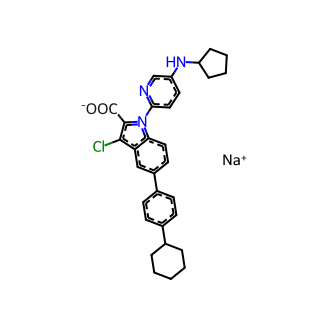 O=C([O-])c1c(Cl)c2cc(-c3ccc(C4CCCCC4)cc3)ccc2n1-c1ccc(NC2CCCC2)cn1.[Na+]